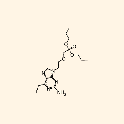 CCCOP(=O)(COCCn1cnc2c(CI)nc(N)nc21)OCCC